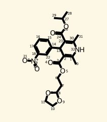 CC1=C(C(=O)OCCC2OCCO2)C(c2cccc([N+](=O)[O-])c2)C(C(=O)OC(C)C)=C(C)N1